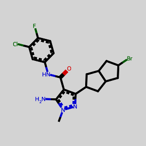 Cn1nc(C2CC3CC(Br)CC3C2)c(C(=O)Nc2ccc(F)c(Cl)c2)c1N